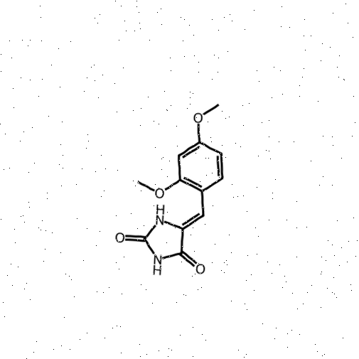 COc1ccc(/C=C2\NC(=O)NC2=O)c(OC)c1